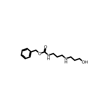 O=C(NCCCNCCCO)OCc1ccccc1